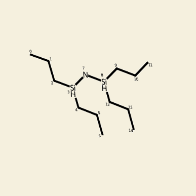 CCC[SiH](CCC)[N][SiH](CCC)CCC